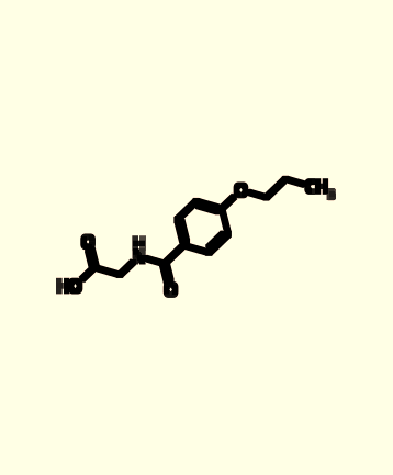 CCCOc1ccc(C(=O)NCC(=O)O)cc1